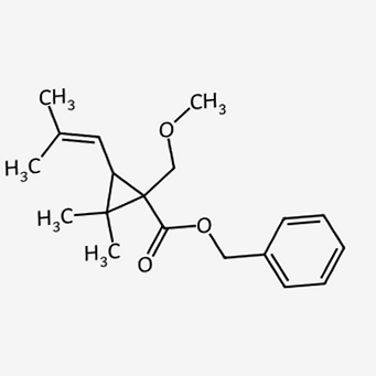 COCC1(C(=O)OCc2ccccc2)C(C=C(C)C)C1(C)C